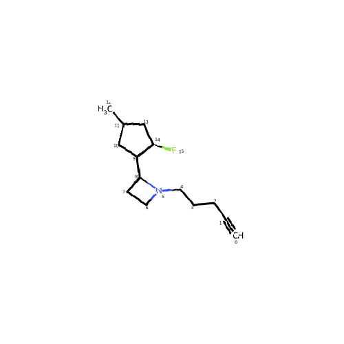 C#CCCCN1CCC1C1CC(C)C[C@H]1F